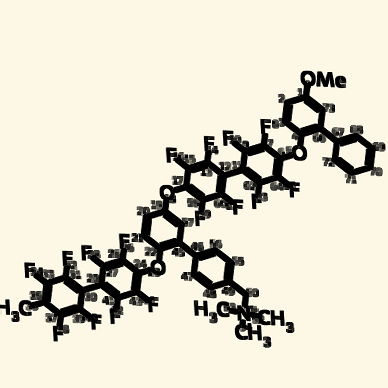 COc1ccc(Oc2c(F)c(F)c(-c3c(F)c(F)c(Oc4ccc(Oc5c(F)c(F)c(-c6c(F)c(F)c(C)c(F)c6F)c(F)c5F)c(-c5ccc(C[N+](C)(C)C)cc5)c4)c(F)c3F)c(F)c2F)c(-c2ccccc2)c1